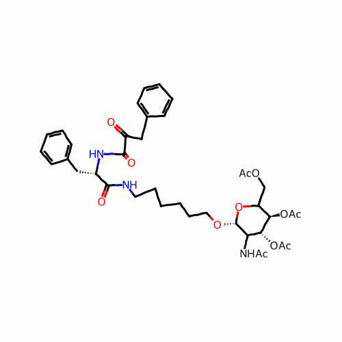 CC(=O)NC1[C@H](OCCCCCCNC(=O)[C@H](Cc2ccccc2)NC(=O)C(=O)Cc2ccccc2)OC(COC(C)=O)[C@@H](OC(C)=O)[C@@H]1OC(C)=O